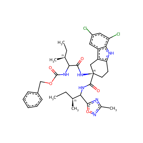 CC[C@H](C)C(NC(=O)OCc1ccccc1)C(=O)N[C@]1(C(=O)NC(c2nc(C)no2)[C@@H](C)CC)CCc2[nH]c3c(Cl)cc(Cl)cc3c2C1